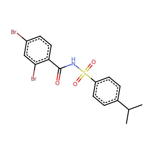 CC(C)c1ccc(S(=O)(=O)NC(=O)c2ccc(Br)cc2Br)cc1